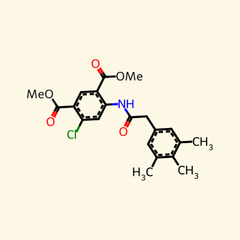 COC(=O)c1cc(C(=O)OC)c(NC(=O)Cc2cc(C)c(C)c(C)c2)cc1Cl